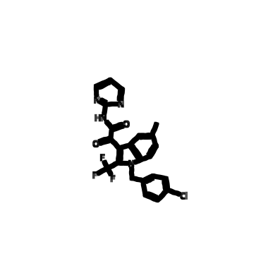 Cc1ccc2c(c1)c(C(=O)C(=O)Nc1ncccn1)c(C(F)(F)F)n2Cc1ccc(Cl)cc1